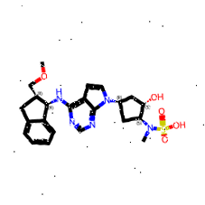 COC[C@@H]1Cc2ccccc2[C@@H]1Nc1ncnc2c1ccn2[C@H]1C[C@H](O)[C@@H](N(C)S(=O)(=O)O)C1